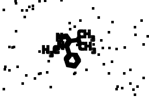 CC(C)c1cnn(C)c1-c1ccccc1